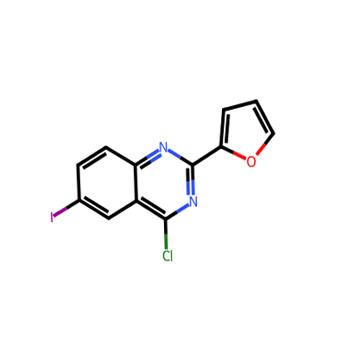 Clc1nc(-c2ccco2)nc2ccc(I)cc12